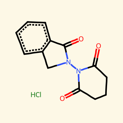 Cl.O=C1c2ccccc2CN1N1C(=O)CCCC1=O